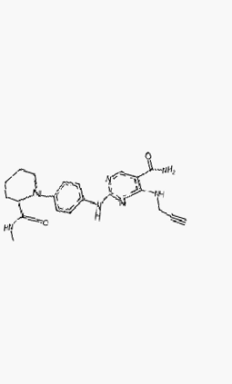 C#CCNc1nc(Nc2ccc(N3CCCCC3C(=O)NC)cc2)ncc1C(N)=O